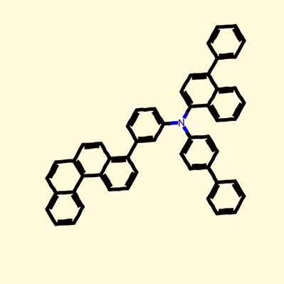 c1ccc(-c2ccc(N(c3cccc(-c4cccc5c4ccc4ccc6ccccc6c45)c3)c3ccc(-c4ccccc4)c4ccccc34)cc2)cc1